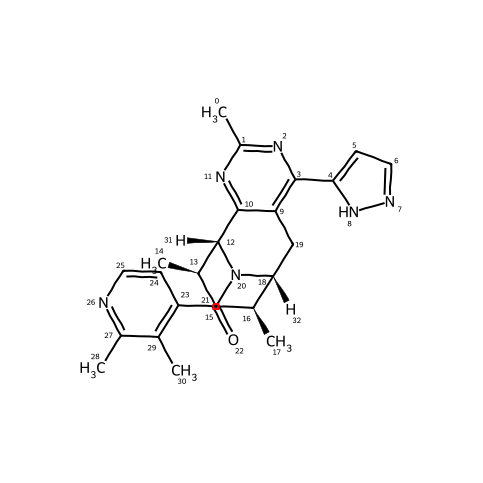 Cc1nc(-c2ccn[nH]2)c2c(n1)[C@H]1[C@H](C)C[C@H](C)[C@@H](C2)N1C(=O)c1ccnc(C)c1C